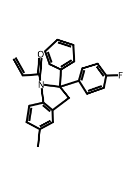 C=CC(=O)N1c2ccc(C)cc2CC1(c1ccccc1)c1ccc(F)cc1